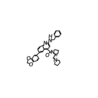 O=C(c1cc(NCc2ccccc2)nc2ccc(-c3ccc4c(c3)OCO4)cc12)N1CCC[C@H]1CN1CCCC1